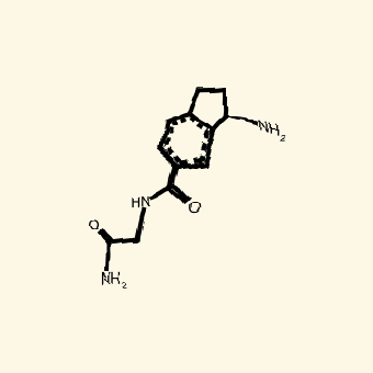 NC(=O)CNC(=O)c1ccc2c(c1)[C@H](N)CC2